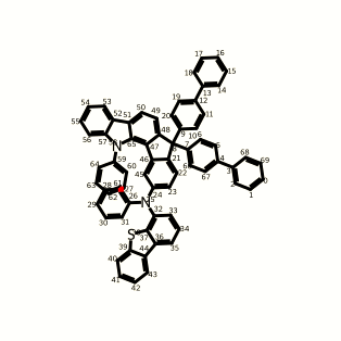 c1ccc(-c2ccc(C3(c4ccc(-c5ccccc5)cc4)c4ccc(N(c5ccccc5)c5cccc6c5sc5ccccc56)cc4-c4c3ccc3c5ccccc5n(-c5ccccc5)c43)cc2)cc1